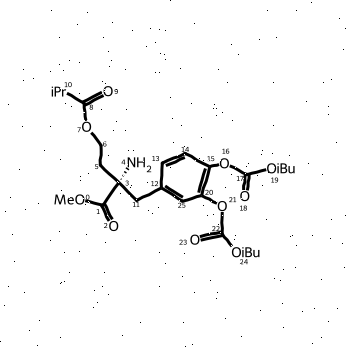 COC(=O)[C@@](N)(CCOC(=O)C(C)C)Cc1ccc(OC(=O)OCC(C)C)c(OC(=O)OCC(C)C)c1